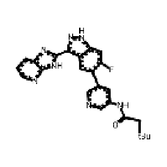 CC(C)(C)CC(=O)Nc1cncc(-c2cc3c(-c4nc5cccnc5[nH]4)n[nH]c3cc2F)c1